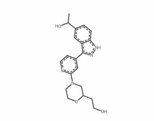 CC(O)c1ccc2[nH]nc(-c3ccnc(N4CCOC(CCO)C4)c3)c2c1